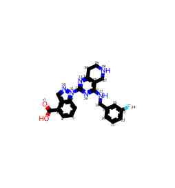 O=C(O)c1cccc2c1cnn2-c1nc2c(c(NCc3cccc(F)c3)n1)CNCC2